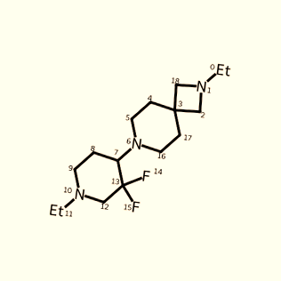 CCN1CC2(CCN(C3CCN(CC)CC3(F)F)CC2)C1